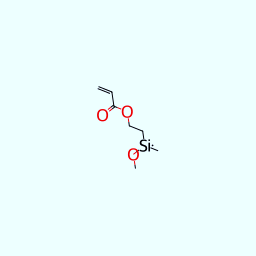 C=CC(=O)OCC[Si](C)OC